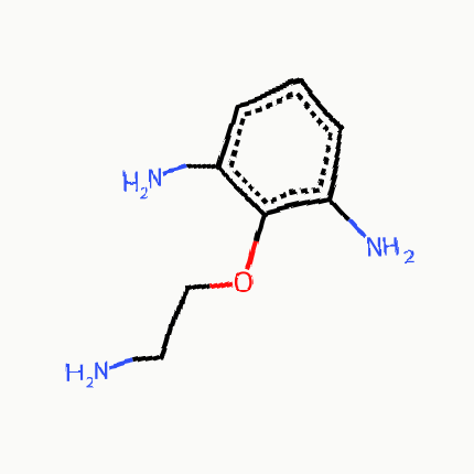 NCCOc1c(N)cccc1N